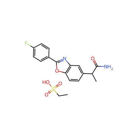 CC(C(N)=O)c1ccc2oc(-c3ccc(F)cc3)nc2c1.CCS(=O)(=O)O